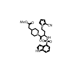 COC(=O)CC1CCN(C(=O)C(CCn2cccc2C#N)NS(=O)(=O)c2cccc3[nH]ccc23)CC1